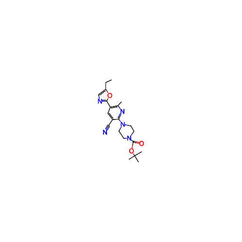 CCc1cnc(-c2cc(C#N)c(N3CCN(C(=O)OC(C)(C)C)CC3)nc2C)o1